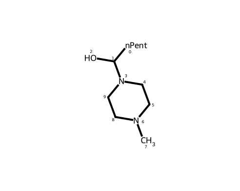 CCCCCC(O)N1CCN(C)CC1